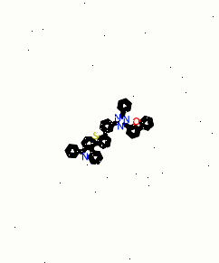 c1ccc(-c2nc(-c3cccc(-c4cccc5c4sc4ccc6c(-c7ccccc7)nc7ccccc7c6c45)c3)nc(-c3cccc4c3oc3ccccc34)n2)cc1